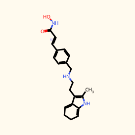 Cc1[nH]c2c(c1CCNCc1ccc(/C=C/C(=O)NO)cc1)=CCCC=2